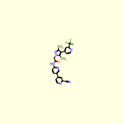 Cc1nn(CC(=O)Nc2ccc(-c3ccnc(C#N)c3)cn2)c(C)c1-c1ccnc(C(F)(F)F)c1